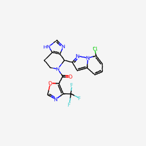 O=C(c1ocnc1C(F)(F)F)N1CCc2[nH]cnc2C1c1cc2cccc(Cl)n2n1